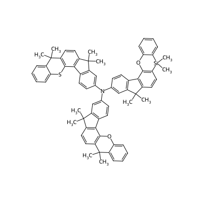 CC1(C)c2ccccc2Oc2c1ccc1c2-c2ccc(N(c3ccc4c(c3)C(C)(C)c3ccc5c(c3-4)Oc3ccccc3[Si]5(C)C)c3ccc4c(c3)C(C)(C)c3ccc5c(c3-4)Sc3ccccc3C5(C)C)cc2C1(C)C